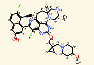 C#Cc1c(F)ccc2cc(O)cc(-c3nc4c5c(nc(OCC6(CN7CCC(OC(F)(F)F)CC7)CC6)nc5c3F)N3C[C@@H](CC)NC[C@H]3CC4)c12